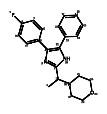 CC(c1nc(-c2ccc(F)cc2)c(-c2ccncc2)[nH]1)N1CCOCC1